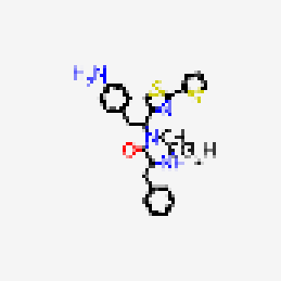 CN(C(=O)[C@H](Cc1ccccc1)NC(=O)O)[C@@H](Cc1ccc(N)cc1)c1csc(-c2cccs2)n1